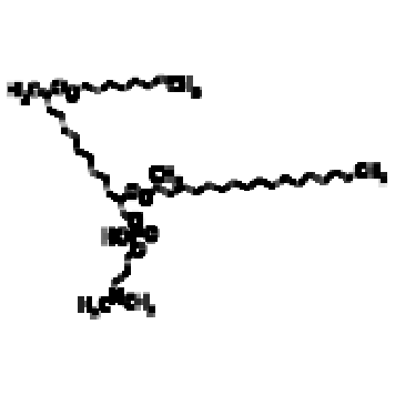 C=C(CCCCCCCCCC(CO[P@@](=O)(O)OCCCN(C)C)OOC(=C)CCCCCCCCCCCCCCCC)OOCCCCCCCC